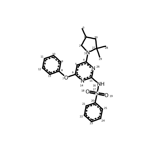 CC1CN(c2cc(Oc3ccccc3)nc(NS(=O)(=O)c3ccccc3)n2)C(C)(C)C1